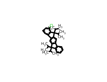 CC(C)C1(C(C)C)c2ccccc2-c2cc3c(cc21)-c1cccc(Cl)c1C3(C(C)C)C(C)C